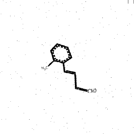 Cc1ccccc1C=CCC=O